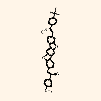 [C-]#[N+]/C(=C\c1ccc2c(c1)oc1cc3c(cc12)oc1cc(/C=C(\C#N)c2ccc(C)cc2)ccc13)c1ccc(C(F)(F)F)cc1